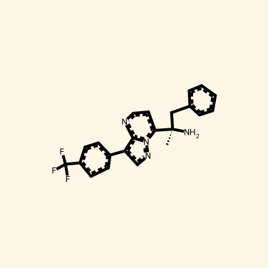 C[C@@](N)(Cc1ccccc1)c1ccnc2c(-c3ccc(C(F)(F)F)cc3)cnn12